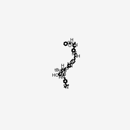 Cc1ncc(-c2ccc3nc(NCCN4CCN(c5ncc(OCC(=O)N[C@H](C(=O)N6C[C@H](O)C[C@H]6C(=O)NCc6ccc(-c7scnc7C)cc6)C(C)(C)C)cn5)CC4)sc3c2)cc1NC(=O)OC1CCCCC1